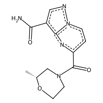 C[C@@H]1CN(C(=O)c2ccn3ncc(C(N)=O)c3n2)CCO1